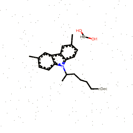 CCCCCCCCCCCCCCC(C)n1c2ccc(C)cc2c2cc(C)ccc21.OBO